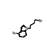 BrCCCCn1ccc2c(Br)cccc21